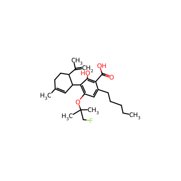 C=C(C)C1CCC(C)=CC1c1c(OC(C)(C)CF)cc(CCCCC)c(C(=O)O)c1O